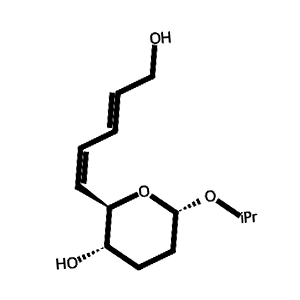 CC(C)O[C@@H]1CC[C@H](O)[C@@H](/C=C\C=C\CO)O1